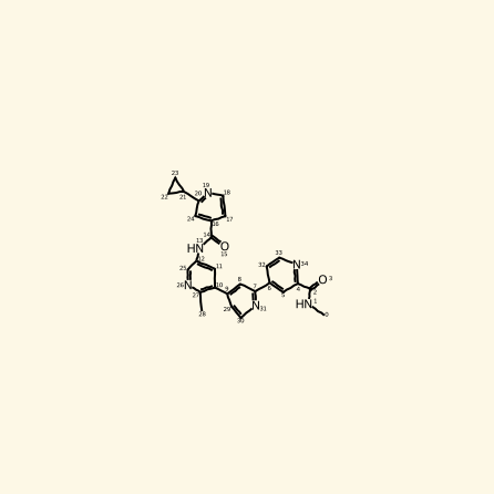 CNC(=O)c1cc(-c2cc(-c3cc(NC(=O)c4ccnc(C5CC5)c4)cnc3C)ccn2)ccn1